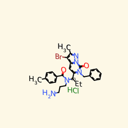 CC[C@H](c1cc2c(Br)c(C)nn2c(=O)n1Cc1ccccc1)N(CCCN)C(=O)c1ccc(C)cc1.Cl